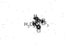 Cc1nc(C(=O)N2C3C[C@H]3C[C@H]2CNC(=O)C(F)(F)F)c(-c2cccc(Cl)c2)s1